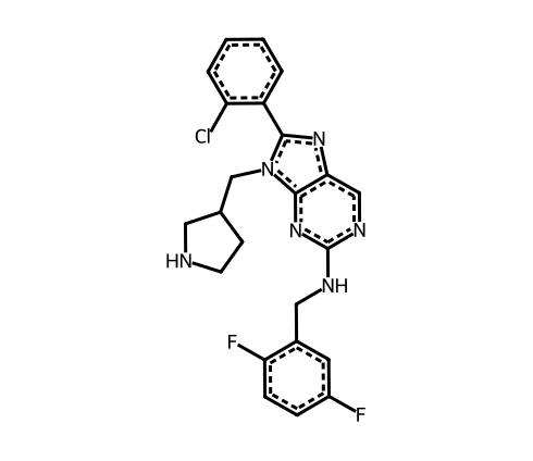 Fc1ccc(F)c(CNc2ncc3nc(-c4ccccc4Cl)n(CC4CCNC4)c3n2)c1